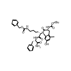 Cc1cc(O)cc2c1C[C@H](NC(=O)OC(C)(C)C)C(=O)N2[C@@H](CCCCNC(=O)OCc1ccccc1)C(=O)N[C@@H](Cc1ccccc1)C(N)=O